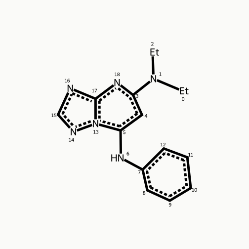 CCN(CC)c1cc(Nc2ccccc2)n2ncnc2n1